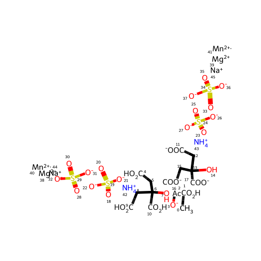 CC(=O)O.CC(=O)[O-].O=C(O)CC(O)(CC(=O)O)C(=O)O.O=C([O-])CC(O)(CC(=O)[O-])C(=O)[O-].O=S(=O)([O-])[O-].O=S(=O)([O-])[O-].O=S(=O)([O-])[O-].O=S(=O)([O-])[O-].[Mg+2].[Mg+2].[Mn+2].[Mn+2].[NH4+].[NH4+].[Na+].[Na+]